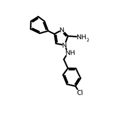 Nc1nc(-c2ccccc2)cn1NCc1ccc(Cl)cc1